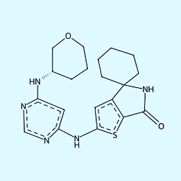 O=C1NC2(CCCCC2)c2cc(Nc3cc(N[C@H]4CCCOC4)ncn3)sc21